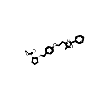 COC(=O)[C@H]1CCC[C@H]1CCc1ccc(OCCc2nc(-c3ccccc3)oc2C)cc1